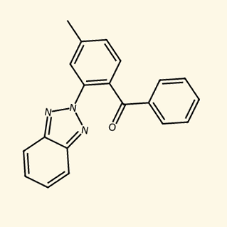 Cc1ccc(C(=O)c2ccccc2)c(-n2nc3ccccc3n2)c1